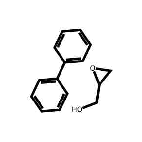 OCC1CO1.c1ccc(-c2ccccc2)cc1